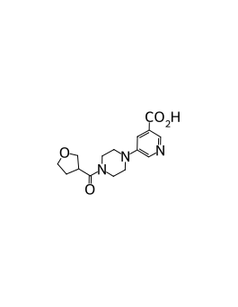 O=C(O)c1cncc(N2CCN(C(=O)C3CCOC3)CC2)c1